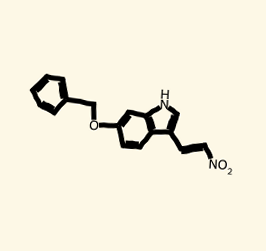 O=[N+]([O-])C=Cc1c[nH]c2cc(OCc3ccccc3)ccc12